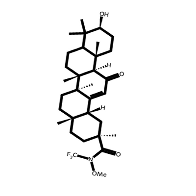 CON(C(=O)[C@@]1(C)CC[C@]2(C)CC[C@]3(C)C(=CC(=O)[C@@H]4[C@@]5(C)CC[C@H](O)C(C)(C)C5CC[C@]43C)[C@@H]2C1)C(F)(F)F